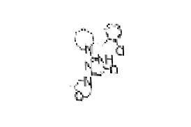 C[C@@H]1CN(c2cc(=O)[nH]c(N3CCCCC[C@@H]3Cc3ccccc3Cl)n2)CCO1